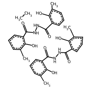 CC.Cc1cccc(C(=O)NNC(=O)c2cccc(C)c2O)c1O.Cc1cccc(C(=O)NNC(=O)c2cccc(C)c2O)c1O